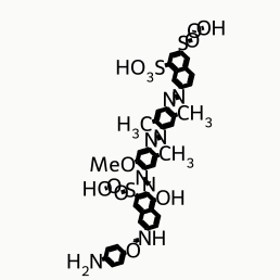 COc1cc(N=Nc2cc(C)c(N=Nc3ccc4cc(SOOO)cc(S(=O)(=O)O)c4c3)cc2C)c(C)cc1N=Nc1c(SOOO)cc2cc(NCOc3ccc(N)cc3)ccc2c1O